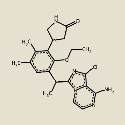 CCOc1c(C(C)c2nc(Cl)c3c(N)nccn23)cc(C)c(C)c1C1CNC(=O)C1